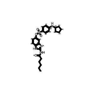 CCCCCC(=O)Nc1nc2cc(OS(=O)(=O)c3ccc(NC4CCCC4)cc3)ccc2[nH]1